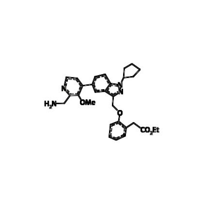 CCOC(=O)Cc1ccccc1OCc1nn(C2CCCC2)c2ccc(-c3ccnc(CN)c3OC)cc12